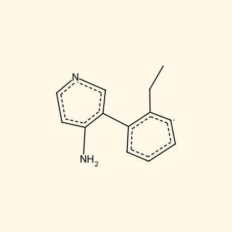 CCc1[c]cccc1-c1cnccc1N